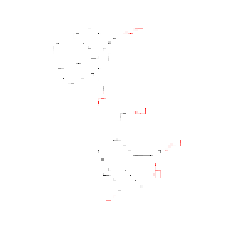 O=C(OCC12CC3CC(CC(O)(C3)C1)C2)C1C2CC3C(OC(=O)C31)C2O